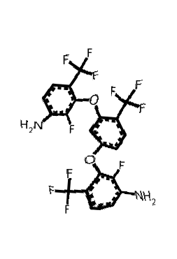 Nc1ccc(C(F)(F)F)c(Oc2ccc(C(F)(F)F)c(Oc3c(C(F)(F)F)ccc(N)c3F)c2)c1F